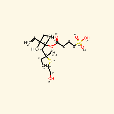 C=CC(C)(CC)C(C)(CC(C)(CC)SCCO)OC(=O)CCCS(=O)(=O)O